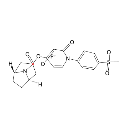 CC(C)OC(=O)N1[C@@H]2CC[C@@H]1CC(Oc1ccn(-c3ccc(S(C)(=O)=O)cc3)c(=O)c1)C2